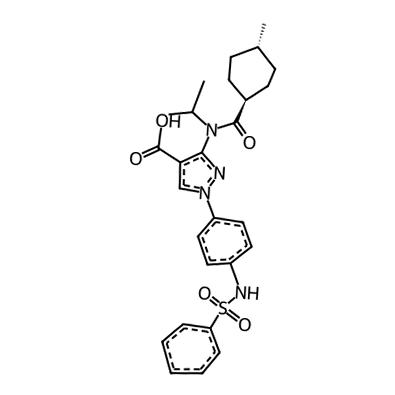 CC(C)N(c1nn(-c2ccc(NS(=O)(=O)c3ccccc3)cc2)cc1C(=O)O)C(=O)[C@H]1CC[C@H](C)CC1